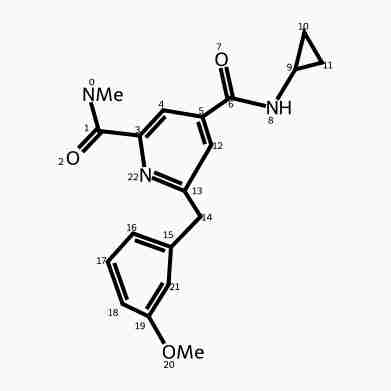 CNC(=O)c1cc(C(=O)NC2CC2)cc(Cc2cccc(OC)c2)n1